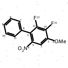 COc1cc([N+](=O)[O-])c(-c2ccccc2)c(F)c1F